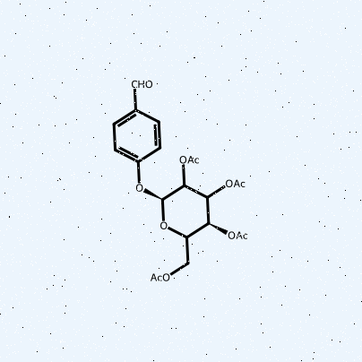 CC(=O)OCC1O[C@@H](Oc2ccc(C=O)cc2)C(OC(C)=O)C(OC(C)=O)[C@H]1OC(C)=O